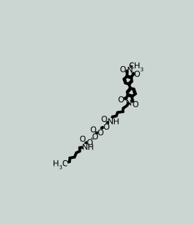 CCCCCCCNC(=O)OCOC(=O)OCOC(=O)NCCCCCCN1C(=O)c2ccc(-c3ccc4c(c3)C(=O)N(C)C4=O)cc2C1=O